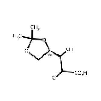 CC1(C)OC[C@H](C(O)C(Cl)C(=O)O)O1